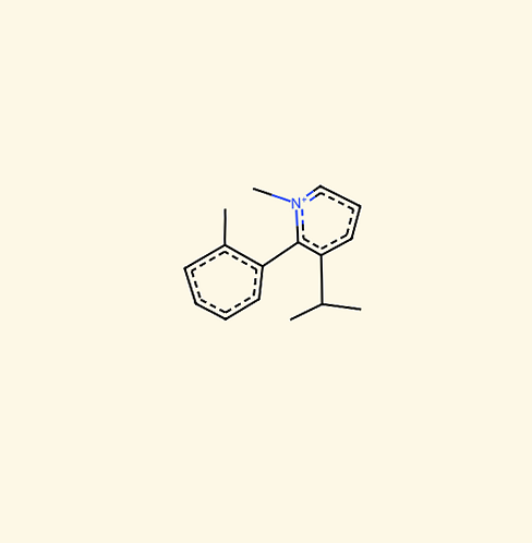 Cc1ccccc1-c1c(C(C)C)ccc[n+]1C